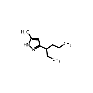 CCCC(CC)c1cc(C)[nH]n1